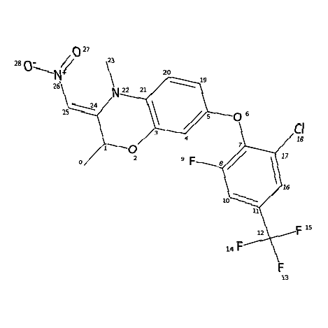 CC1Oc2cc(Oc3c(F)cc(C(F)(F)F)cc3Cl)ccc2N(C)C1=C[N+](=O)[O-]